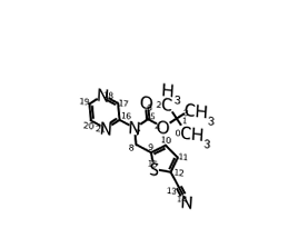 CC(C)(C)OC(=O)N(Cc1ccc(C#N)s1)c1cnccn1